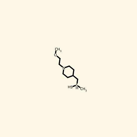 COCCN1CCC(C[SH](C)S)CC1